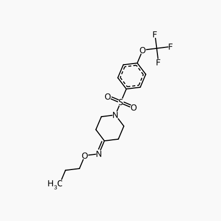 CCCON=C1CCN(S(=O)(=O)c2ccc(OC(F)(F)F)cc2)CC1